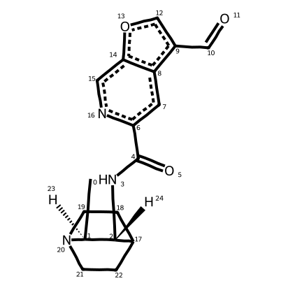 C[C@H]1[C@H](NC(=O)c2cc3c(C=O)coc3cn2)C2CCN1CC2